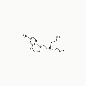 Nc1ccc2c(c1)OCCN2CCN(CCO)CCO